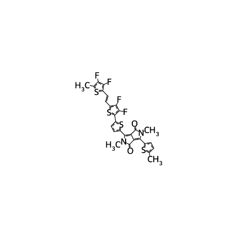 Cc1ccc(C2=C3C(=O)N(C)C(c4ccc(-c5sc(/C=C/c6sc(C)c(F)c6F)c(F)c5F)s4)=C3C(=O)N2C)s1